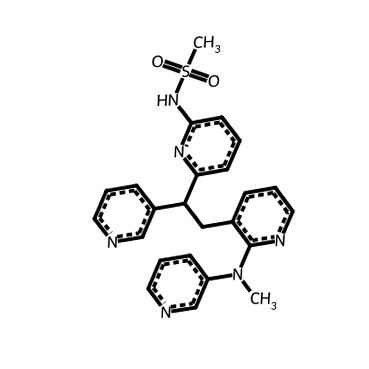 CN(c1cccnc1)c1ncccc1CC(c1cccnc1)c1cccc(NS(C)(=O)=O)n1